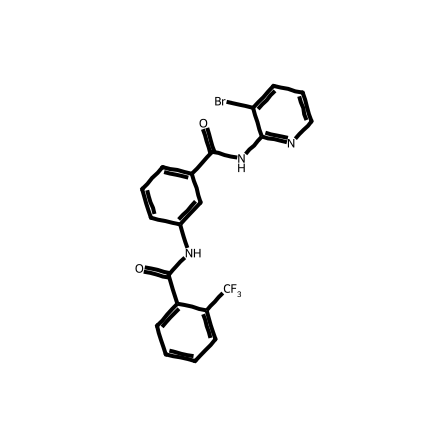 O=C(Nc1ncccc1Br)c1cccc(NC(=O)c2ccccc2C(F)(F)F)c1